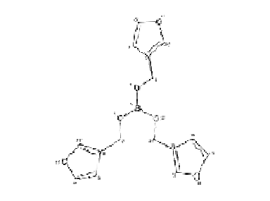 c1cc(COB(OCc2ccoc2)OCc2ccoc2)co1